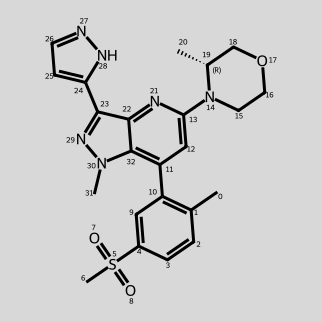 Cc1ccc(S(C)(=O)=O)cc1-c1cc(N2CCOC[C@H]2C)nc2c(-c3ccn[nH]3)nn(C)c12